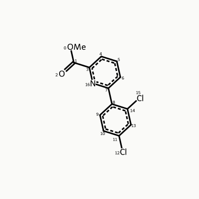 COC(=O)c1cccc(-c2ccc(Cl)cc2Cl)n1